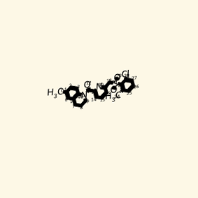 Cc1ccc2c(c1)CCCN2C(=O)c1cccc(CS(=O)(=O)c2c(C)cccc2Cl)n1